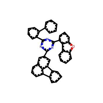 c1ccc(-c2ccccc2-c2nc(-c3cc4c5c(cccc5c3)-c3ccccc3-4)nc(-c3cccc4oc5ccccc5c34)n2)cc1